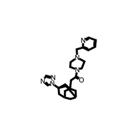 O=C(CC12CC3CC(C1)CC(n1cncn1)(C3)C2)N1CCN(Cc2ccccn2)CC1